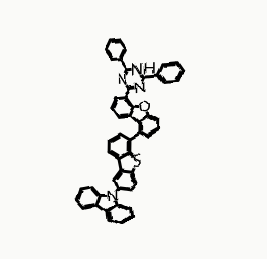 c1ccc(C2=NC(c3cccc4c3oc3cccc(-c5cccc6c5sc5ccc(-n7c8ccccc8c8ccccc87)cc56)c34)=NC(c3ccccc3)N2)cc1